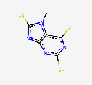 Cn1c(S)nc2nc(S)nc(S)c21